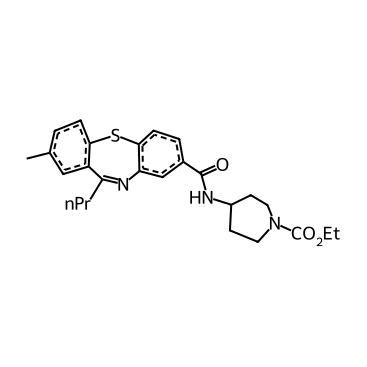 CCCC1=Nc2cc(C(=O)NC3CCN(C(=O)OCC)CC3)ccc2Sc2ccc(C)cc21